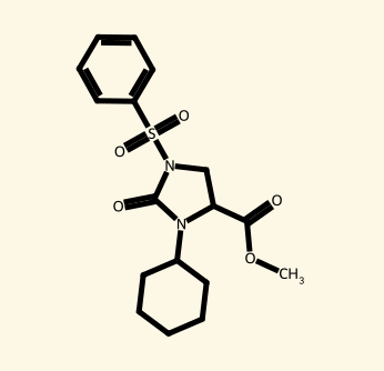 COC(=O)C1CN(S(=O)(=O)c2ccccc2)C(=O)N1C1CCCCC1